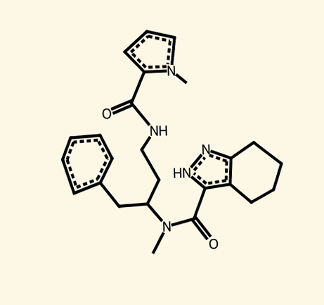 CN(C(=O)c1[nH]nc2c1CCCC2)C(CCNC(=O)c1cccn1C)Cc1ccccc1